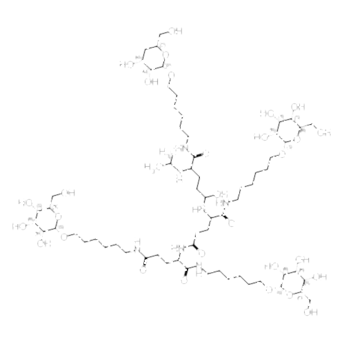 CC(C)NC(CCC(O)NC(CCC(=O)NC(CCC(=O)NCCCCCCO[C@H]1O[C@H](CO)[C@@H](O)[C@@H](O)[C@H]1O)C(=O)NCCCCCCO[C@H]1O[C@H](CO)[C@@H](O)[C@@H](O)[C@H]1O)C(=O)NCCCCCCO[C@H]1O[C@H](CO)[C@@H](O)[C@@H](O)[C@H]1O)C(=O)NCCCCCCO[C@H]1O[C@H](CO)C[C@@H](O)[C@H]1O